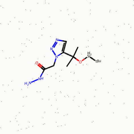 CC(C)(C)[SiH2]OC(C)(C)c1cnnn1CC(=O)NN